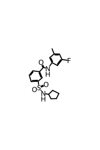 Cc1cc(F)cc(NC(=O)c2cccc(S(=O)(=O)NC3CCCC3)c2)c1